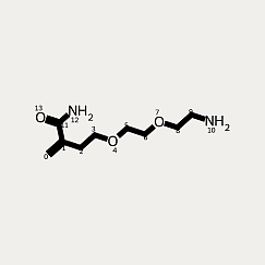 C=C(CCOCCOCCN)C(N)=O